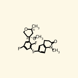 CO[C@]1(c2cc(F)cc(Sc3ccc4c(c3)CCC(=O)N4C)c2F)CCO[C@@H](C)C1